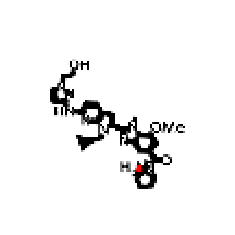 COc1cc(C(=O)N2CC3CCC2[C@@H]3N)cc2nc(-c3cc4ccc(Nc5ccn(CCO)n5)nc4n3CC3CC3)n(C)c12